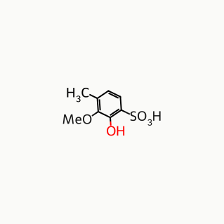 COc1c(C)ccc(S(=O)(=O)O)c1O